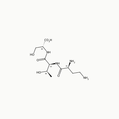 C[C@@H](O)[C@H](NC(=O)[C@@H](N)CCN)C(=O)N[C@H](CO)C(=O)O